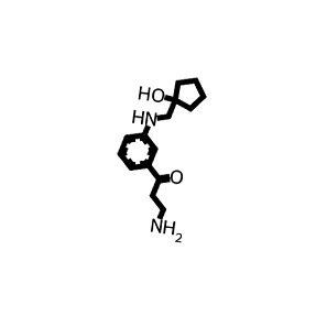 NCCC(=O)c1cccc(NCC2(O)CCCC2)c1